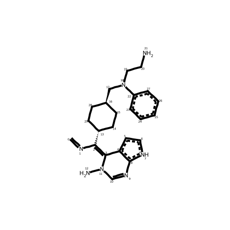 C=N/C(=C1/c2cc[nH]c2N=CN1N)[C@H]1CC[C@H](CN(CCN)c2ccccc2)CC1